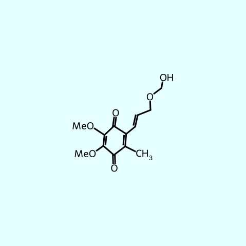 COC1=C(OC)C(=O)C(/C=C/COCO)=C(C)C1=O